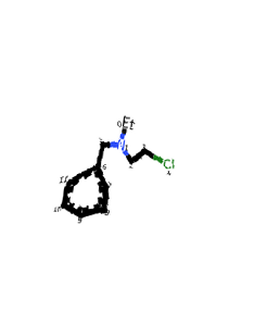 CCN(CCCl)Cc1ccccc1